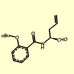 C=CC[C@@H](C=O)NC(=O)c1ccccc1OCCCC